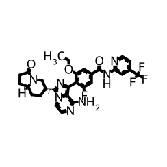 CCOc1cc(C(=O)Nc2cc(C(F)(F)F)ccn2)cc(F)c1-c1nc([C@@H]2CC[C@H]3CCC(=O)N3C2)n2ccnc(N)c12